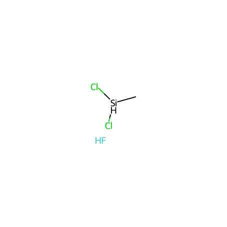 C[SiH](Cl)Cl.F